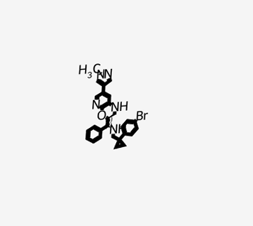 Cn1cc(-c2cnc3c(c2)NC[C@@H]([C@H](NCC2(c4ccc(Br)cc4)CC2)c2ccccc2)O3)cn1